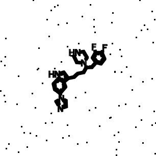 Fc1ccc(CC(CCCc2c[nH]c3ccc(-n4ccnc4)cc23)N2CCNCC2)cc1F